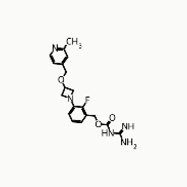 Cc1cc(COC2CN(c3cccc(COC(=O)NC(=N)N)c3F)C2)ccn1